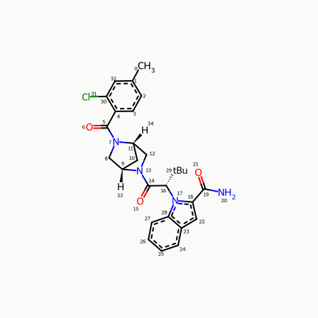 Cc1ccc(C(=O)N2C[C@@H]3C[C@H]2CN3C(=O)[C@@H](n2c(C(N)=O)cc3ccccc32)C(C)(C)C)c(Cl)c1